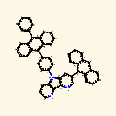 c1ccc(-c2c3ccccc3c(-c3ccc(-n4c5cccnc5c5ncc(-c6c7ccccc7cc7ccccc67)cc54)cc3)c3ccccc23)cc1